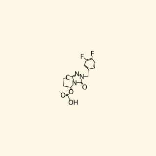 O=C(O)O[C@H]1CCCc2nn(Cc3ccc(F)c(F)c3)c(=O)n21